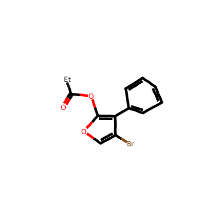 CCC(=O)Oc1occ(Br)c1-c1ccccc1